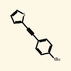 CC(C)(C)c1ccc(C#Cc2cccs2)cc1